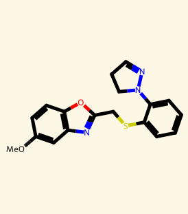 COc1ccc2oc(CSc3ccccc3N3CCC=N3)nc2c1